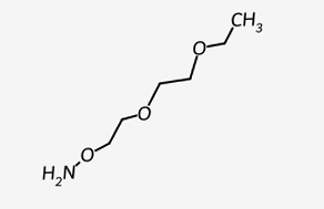 CCOCCOCCON